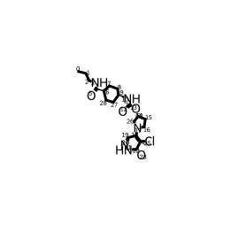 CCCNC(=O)[C@H]1CC[C@@H](NC(=O)O[C@@H]2CCN(c3cn[nH]c(=O)c3Cl)C2)CC1